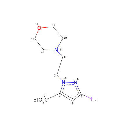 CCOC(=O)c1cc(I)nn1CCN1CCOCC1